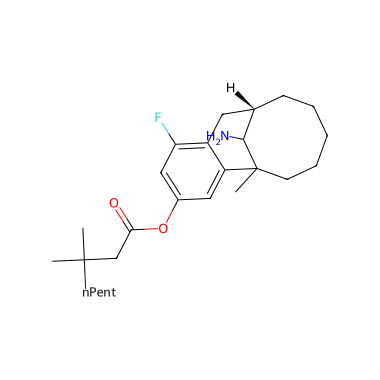 CCCCCC(C)(C)CC(=O)Oc1cc(F)c2c(c1)C1(C)CCCCC[C@@H](C2)C1N